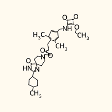 CCOc1c(NCc2cc(C)c(CCS(=O)(=O)N3CCC4(CC3)N=C(C3CCC(C)CC3)NC4=O)c(C)c2)c(=O)c1=O